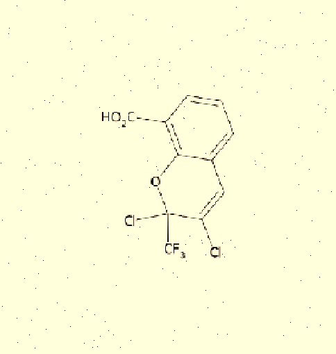 O=C(O)c1cccc2c1OC(Cl)(C(F)(F)F)C(Cl)=C2